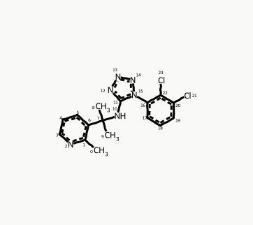 Cc1ncccc1C(C)(C)Nc1nnnn1-c1cccc(Cl)c1Cl